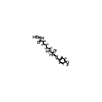 COc1ccc(/C=N/NC(=O)NCCCCCC(=O)NO)cc1